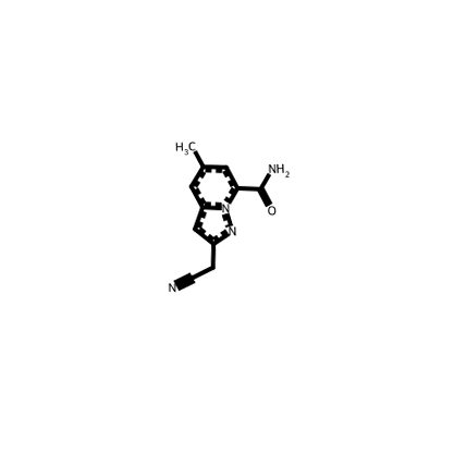 Cc1cc(C(N)=O)n2nc(CC#N)cc2c1